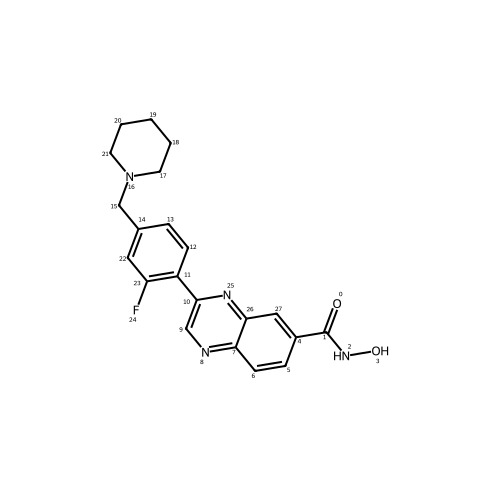 O=C(NO)c1ccc2ncc(-c3ccc(CN4CCCCC4)cc3F)nc2c1